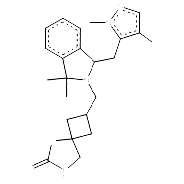 Cn1ncc(Cl)c1CC1c2ccccc2C(C)(C)N1CC1CC2(CNC(=O)O2)C1